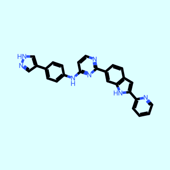 c1ccc(-c2cc3ccc(-c4nccc(Nc5ccc(-c6cn[nH]c6)cc5)n4)cc3[nH]2)nc1